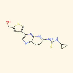 OCc1cc(-c2cnc3ccc(NC(=S)NC4CC4)nc3n2)cs1